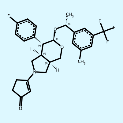 Cc1cc([C@@H](C)O[C@H]2OC[C@H]3CN(C4=CC(=O)CC4)C[C@H]3[C@@H]2c2ccc(F)cc2)cc(C(F)(F)F)c1